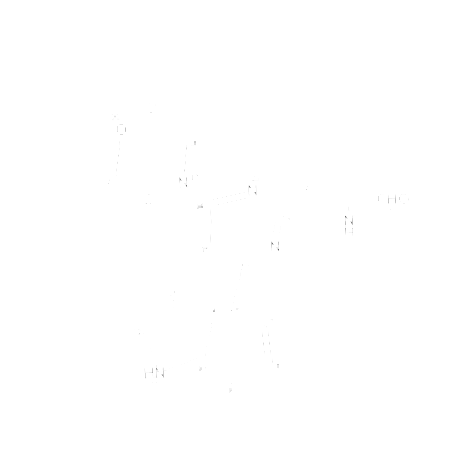 O=CNCc1nc(-c2cccc3[nH]ccc23)cc(N2CCOCC2)n1